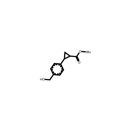 CC(C)(C)OC(=O)C1CC1c1ccc(CO)cc1